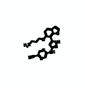 N#Cc1cnc(Nc2cc(-c3c(OCCCN)ccc4ccoc34)[nH]n2)cn1